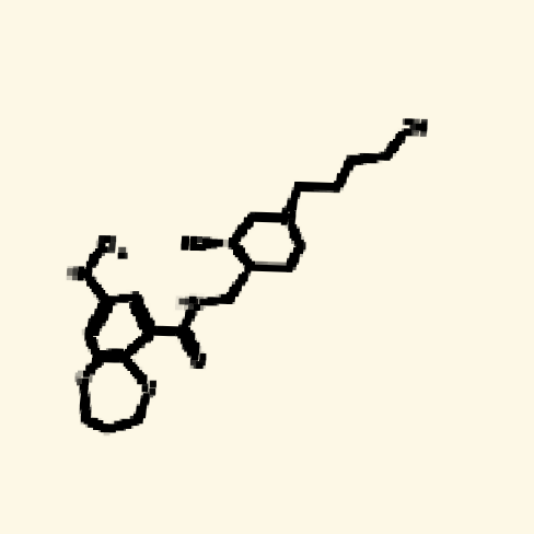 CNc1cc2c(c(C(=O)NC[C@@H]3CCN(CCCCO)C[C@H]3O)c1)OCCCO2